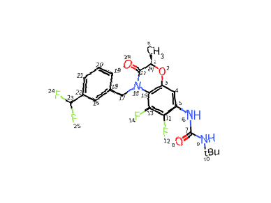 C[C@H]1Oc2cc(NC(=O)NC(C)(C)C)c(F)c(F)c2N(Cc2cccc(C(F)F)c2)C1=O